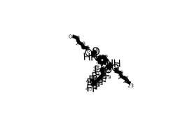 CCCCCCOC(=O)Nc1ccc(NC(=O)OCCCCCC)c(OC(F)=C(F)C(F)(F)C(F)(F)C(F)(F)C(F)(F)F)c1